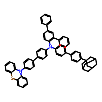 c1ccc(-c2ccc(N(c3ccc(-c4ccc(N5c6ccccc6Sc6ccccc65)cc4)cc3)c3ccc(-c4ccc(C56CC7CC(CC(C7)C5)C6)cc4)cc3)c(-c3ccccc3)c2)cc1